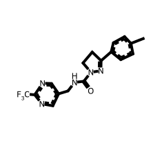 Cc1ccc(C2=NN(C(=O)NCc3cnc(C(F)(F)F)nc3)CC2)cc1